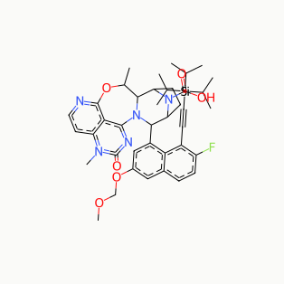 COCOc1cc(C2C3CCC(C4C(C)Oc5nccc6c5c(nc(=O)n6C)N24)N3C(=O)O)c2c(C#C[Si](C(C)C)(C(C)C)C(C)C)c(F)ccc2c1